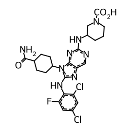 NC(=O)C1CCC(n2c(Nc3c(F)cc(Cl)cc3Cl)nc3cnc(NC4CCCN(C(=O)O)C4)nc32)CC1